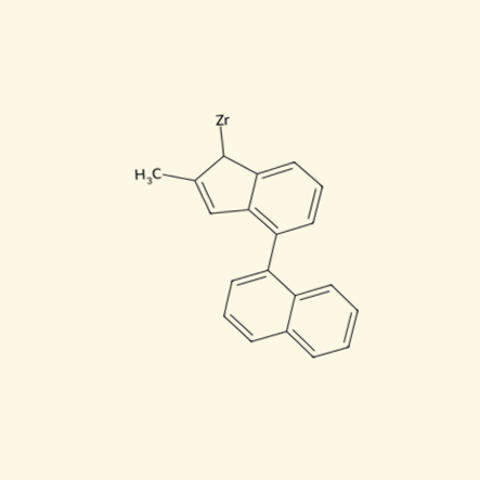 CC1=Cc2c(-c3cccc4ccccc34)cccc2[CH]1[Zr]